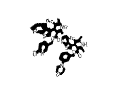 CC(=O)C1=C(C)NC(C)=C(C(=O)OCc2ccc(Cl)nc2)C1c1csc2ncccc12.CC(=O)C1=C(C)NC(C)=C(C(=O)OCc2cccc(N3CCOCC3)c2)C1c1csc2ncccc12